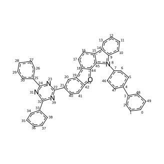 c1ccc(-c2ccc(-n3c4ccccc4c4ccc5c6cc(-c7nc(-c8ccccc8)nc(-c8ccccc8)n7)ccc6oc5c43)cc2)cc1